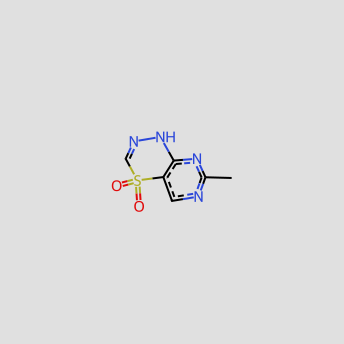 Cc1ncc2c(n1)NN=CS2(=O)=O